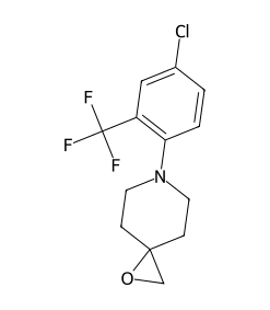 FC(F)(F)c1cc(Cl)ccc1N1CCC2(CC1)CO2